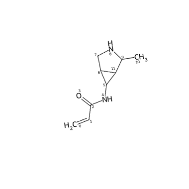 C=CC(=O)NC1C2CNC(C)C21